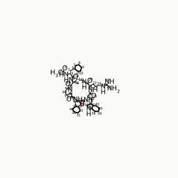 CC(=O)N[C@@H](Cc1ccccc1)C(=O)N[C@H]1CCNC(=O)C(CCCNC(=N)N)NC(=O)C(Cc2c[nH]c3ccccc23)NC(=O)C2(Cc3ccccc3C2)NC(=O)C2CCCN2C1=O